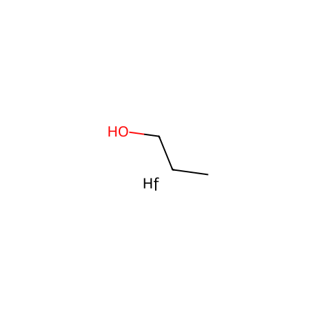 CCCO.[Hf]